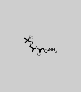 CCC(C)(C)OCC(C)NC(=O)CON